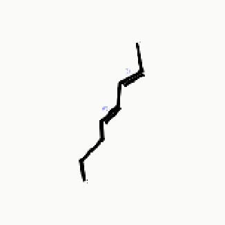 [CH]CC/C=C/C=C/[CH2]